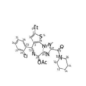 CCc1cc2c(s1)-n1nc(C(=O)N3CCCCC3)nc1C(OC(C)=O)N=C2c1ccccc1Cl